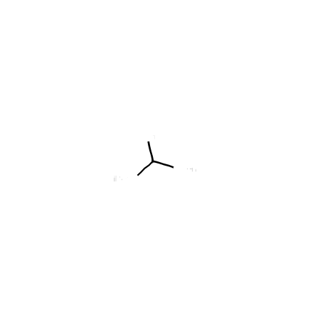 CCCCC[C](C(C)C)C(C)CCC